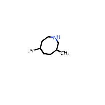 CC1CCC(C(C)C)CCNC1